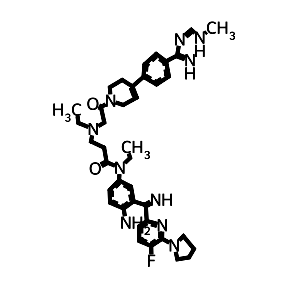 CCN(CCC(=O)N(CC)c1ccc(N)c(C(=N)c2ccc(F)c(N3CCCC3)n2)c1)CC(=O)N1CC=C(c2ccc(C(=N)/N=C\NC)cc2)CC1